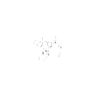 Cc1ccc2[nH]c3c(c2c1)CC(C)N(CC(F)(F)CO)C3c1c(F)cc(NC2CCN(CCCF)C2)cc1F